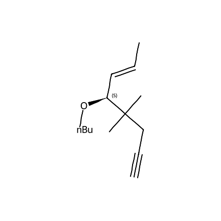 C#CCC(C)(C)[C@H](C=CC)OCCCC